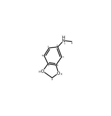 CNc1ccc2c(c1)OCO2